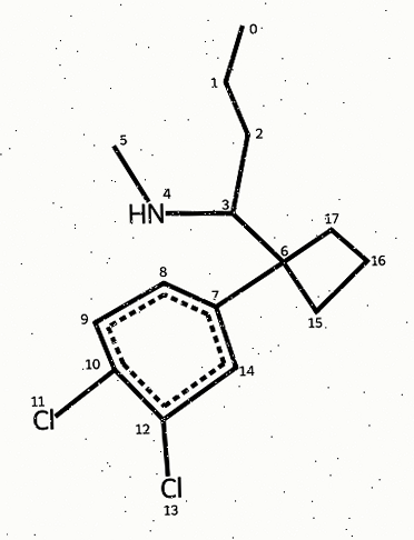 CCCC(NC)C1(c2ccc(Cl)c(Cl)c2)CCC1